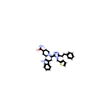 NC(=O)C1CCN([C@H](Cc2c[nH]c3ccccc23)c2nnc(CCc3ccccc3)n2Cc2cccs2)CC1